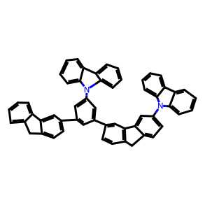 c1ccc2c(c1)Cc1ccc(-c3cc(-c4ccc5c(c4)-c4cc(-n6c7ccccc7c7ccccc76)ccc4C5)cc(-n4c5ccccc5c5ccccc54)c3)cc1-2